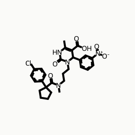 CC1=C(C(=O)O)C(c2cccc([N+](=O)[O-])c2)N(CCCN(C)C(=O)C2(c3ccc(Cl)cc3)CCCC2)C(=O)N1